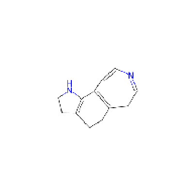 C1=CC2=C(CC=N1)CCC1=C2NCC1